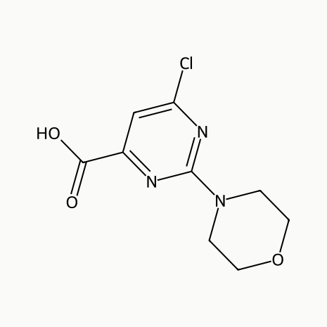 O=C(O)c1cc(Cl)nc(N2CCOCC2)n1